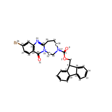 O=C(OCC1c2ccccc2-c2ccccc21)N1CCCc2nc3cc(Br)ccc3c(=O)n2CC1